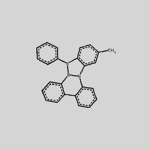 Cc1ccc2c(c1)N1B(c3ccccc3-c3ccccc31)N2c1ccccc1